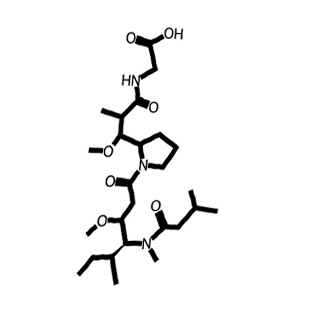 CCC(C)[C@@H](C(CC(=O)N1CCCC1C(OC)C(C)C(=O)NCC(=O)O)OC)N(C)C(=O)CC(C)C